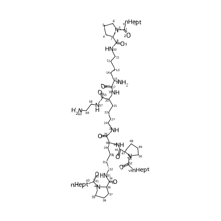 CCCCCCCC(=O)N1CCCC1C(=O)NCCCCC(N)C(=O)NC(CCCCNC(=O)C(CCCCNC(=O)C1CCCN1C(=O)CCCCCCC)NC(=O)C1CCCN1C(=O)CCCCCCC)C(=O)NCCN